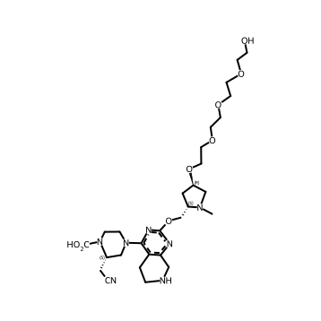 CN1C[C@H](OCCOCCOCCOCCO)C[C@H]1COc1nc2c(c(N3CCN(C(=O)O)[C@@H](CC#N)C3)n1)CCNC2